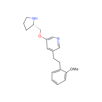 COc1ccccc1CCc1cncc(OC[C@@H]2CCCN2)c1